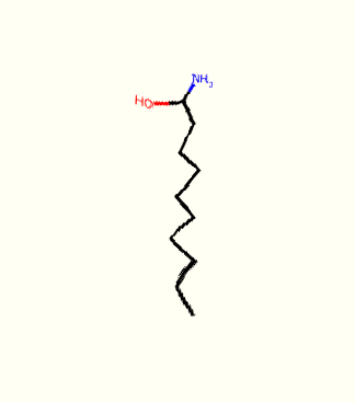 CCCCCCCCCC(N)O